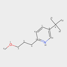 COCCCc1ccc(C(C)(C)C)cn1